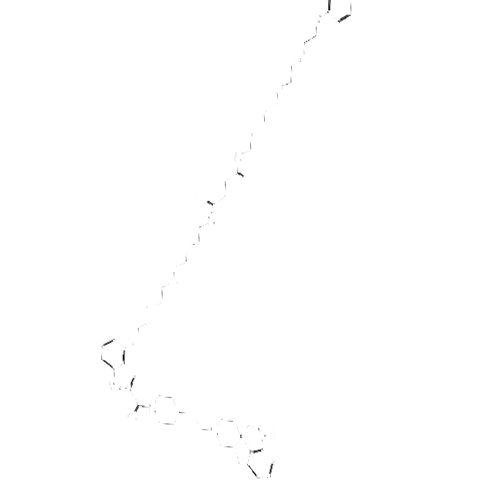 Cc1ccc2c(c1)NCC21CCN(CCC2CCN(C(=O)c3cc4c(OCCOCCOCCOCCNC(=O)CCC(=O)NCCOCCOCCOCCNc5ccc([N+](=O)[O-])cc5[N+](=O)[O-])cccc4[nH]3)CC2)CC1C